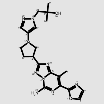 Cc1c(-c2ncco2)nc(N)n2nc(C3CCN(c4cnn(CC(C)(C)O)c4)C3)nc12